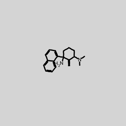 C=C1C(N(C)C)CCCC1(N)c1cccc2ccccc12